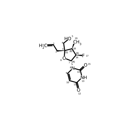 C=CC[C@]1(CO)O[C@@H](n2ccc(=O)[nH]c2=O)[C@H](F)[C@@H]1C